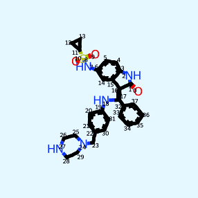 O=C1Nc2ccc(NS(=O)(=O)C3CC3)cc2C1=C(Nc1ccc(CN2CCNCC2)cc1)c1ccccc1